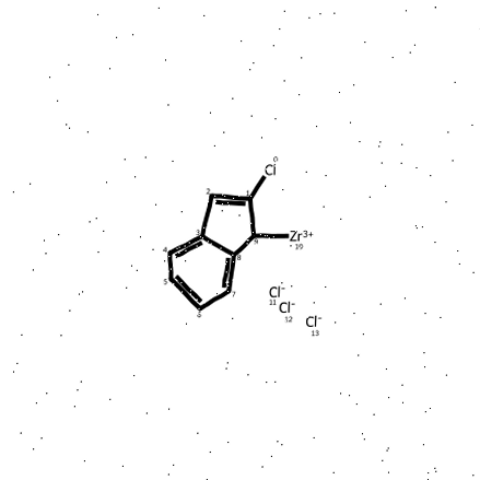 ClC1=Cc2ccccc2[CH]1[Zr+3].[Cl-].[Cl-].[Cl-]